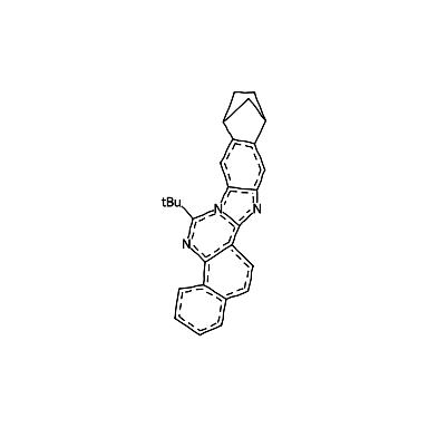 CC(C)(C)c1nc2c3ccccc3ccc2c2nc3cc4c(cc3n12)C1CCC4C1